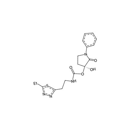 CCc1nnc(CCNC(=O)O[C@@]2(O)CCN(c3ccccc3)C2=O)s1